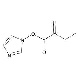 C=C(CC)C(=O)On1ccnc1